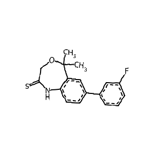 CC1(C)OCC(=S)Nc2ccc(-c3cccc(F)c3)cc21